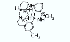 Cc1cc2c(c(C(=O)N[C@H](C)c3ccccc3)c1)[C@H]1C[C@H]3NCCC[C@H]3CN1CC2